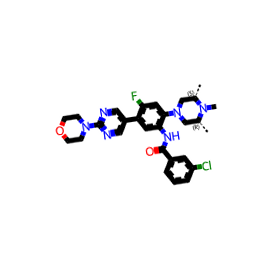 C[C@@H]1CN(c2cc(F)c(-c3cnc(N4CCOCC4)nc3)cc2NC(=O)c2cccc(Cl)c2)C[C@H](C)N1C